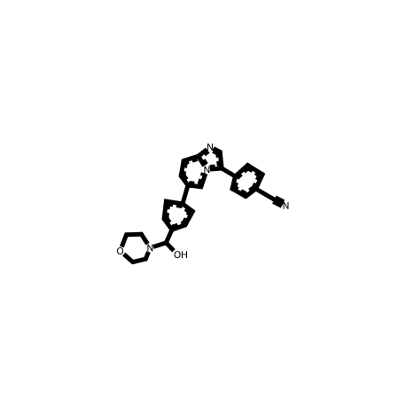 N#Cc1ccc(-c2cnc3ccc(-c4ccc(C(O)N5CCOCC5)cc4)cn23)cc1